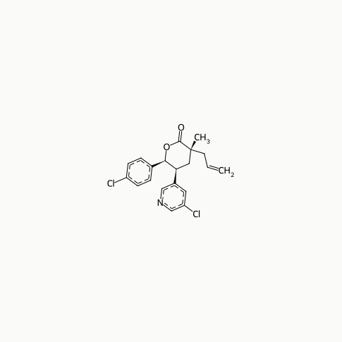 C=CC[C@]1(C)C[C@@H](c2cncc(Cl)c2)[C@@H](c2ccc(Cl)cc2)OC1=O